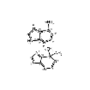 CC1(N)N=CN=C2N=CN=C21.Nc1ncnc2[nH]cnc12